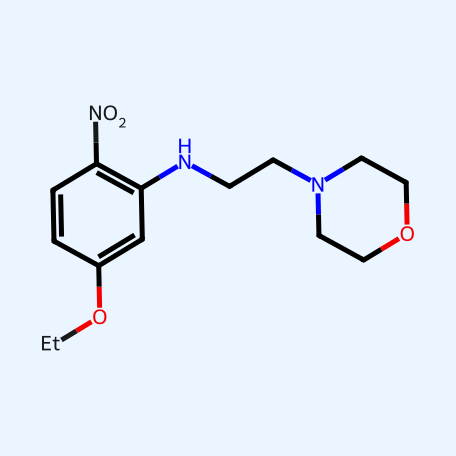 CCOc1ccc([N+](=O)[O-])c(NCCN2CCOCC2)c1